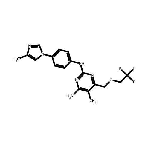 Cc1cn(-c2ccc(Nc3nc(N)c(C)c(COCC(F)(F)F)n3)cc2)cn1